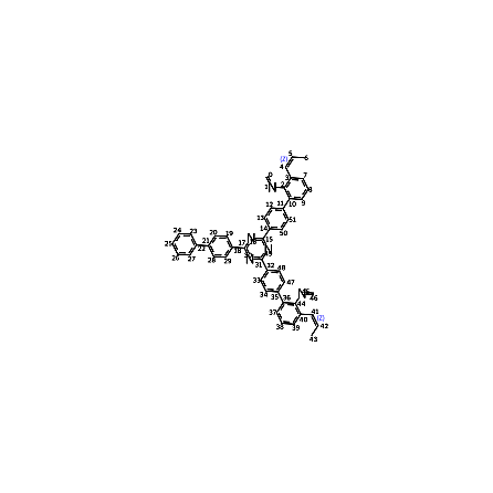 C=Nc1c(/C=C\C)cccc1-c1ccc(-c2nc(-c3ccc(-c4ccccc4)cc3)nc(-c3ccc(-c4cccc(/C=C\C)c4N=C)cc3)n2)cc1